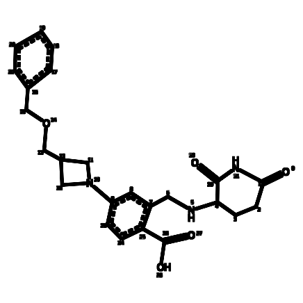 O=C1CCC(NCc2cc(N3CC(COCc4ccccc4)C3)ccc2C(=O)O)C(=O)N1